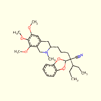 CCC(CC)C(C#N)(CCCC1Cc2cc(OC)c(OC)c(OC)c2CN1C)C1Oc2ccccc2O1